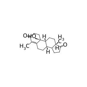 CC1=C2CC[C@@H]3[C@@H](CC[C@]4(C)C(=O)CC[C@@H]34)[C@@]2(CO)CCC1=O